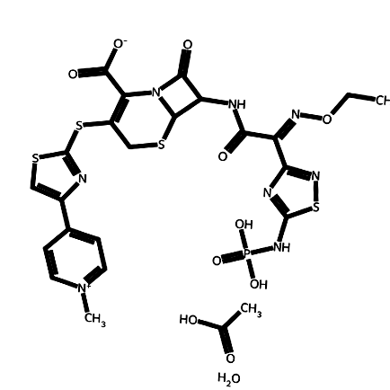 CC(=O)O.CCON=C(C(=O)NC1C(=O)N2C(C(=O)[O-])=C(Sc3nc(-c4cc[n+](C)cc4)cs3)CSC12)c1nsc(NP(=O)(O)O)n1.O